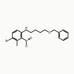 Cc1c(Br)ccc(NCCCCOCc2ccccc2)c1[N+](=O)[O-]